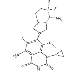 COc1c(N2CC3CCC(F)(F)C(N)C3C2)c(F)c(N)c2c(=O)[nH]c(=O)n(C3CC3)c12